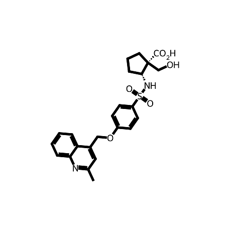 Cc1cc(COc2ccc(S(=O)(=O)N[C@@H]3CCC[C@]3(CO)C(=O)O)cc2)c2ccccc2n1